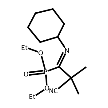 CCOP(=O)(OCC)C(=NC1CCCCC1)C(C)(C)C#N